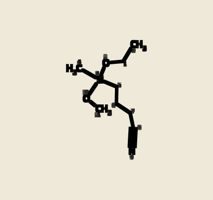 CCO[Si](C)(CCCC#N)OC